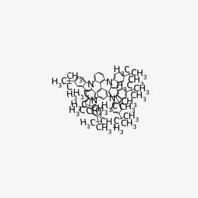 CC1=CC(C)c2cc(C(C)(C)C)ccc2N1c1cc(-c2c(-n3c4ccc(C(C)(C)C)cc4c4cc(C(C)(C)C)ccc43)cccc2-n2c3ccc(C(C)(C)C)cc3c3cc(C(C)(C)C)ccc32)cc(-n2c3ccc(C(C)(C)C)cc3c3cc(C(C)(C)C)ccc32)c1